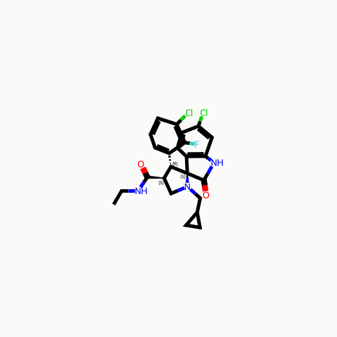 CCNC(=O)[C@@H]1CN(CC2CC2)[C@@]2(C(=O)Nc3cc(Cl)ccc32)[C@H]1c1cccc(Cl)c1F